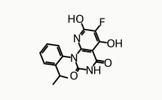 CC(C)c1ccccc1-n1c(=O)[nH]c(=O)c2c(O)c(F)c(O)nc21